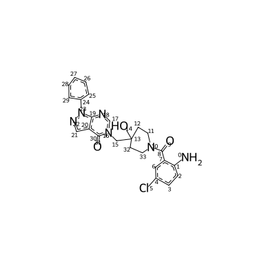 Nc1ccc(Cl)cc1C(=O)N1CCC(O)(Cn2cnc3c(cnn3-c3ccccc3)c2=O)CC1